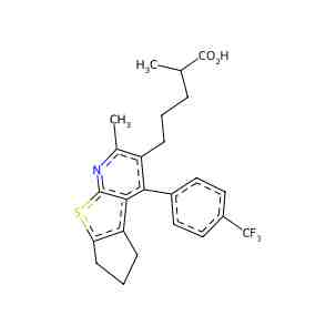 Cc1nc2sc3c(c2c(-c2ccc(C(F)(F)F)cc2)c1CCCC(C)C(=O)O)CCC3